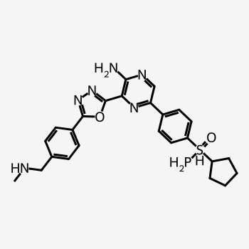 CNCc1ccc(-c2nnc(-c3nc(-c4ccc([SH](=O)(P)C5CCCC5)cc4)cnc3N)o2)cc1